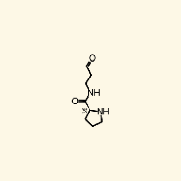 O=CCCNC(=O)[C@@H]1CCCN1